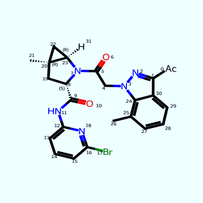 CC(=O)c1nn(CC(=O)N2[C@H](C(=O)Nc3cccc(Br)n3)C[C@@]3(C)C[C@@H]23)c2c(C)cccc12